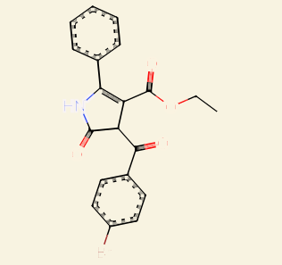 CCOC(=O)C1=C(c2ccccc2)NC(=O)C1C(=O)c1ccc(Br)cc1